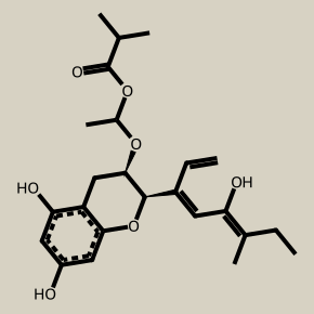 C=C/C(=C\C(O)=C(/C)CC)[C@H]1Oc2cc(O)cc(O)c2C[C@H]1OC(C)OC(=O)C(C)C